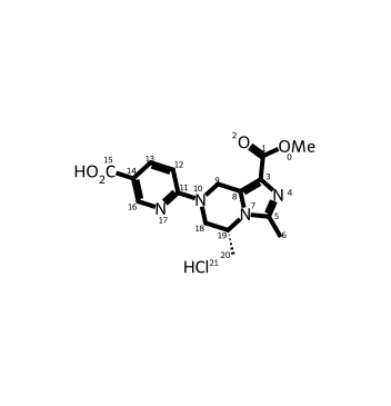 COC(=O)c1nc(C)n2c1CN(c1ccc(C(=O)O)cn1)C[C@H]2C.Cl